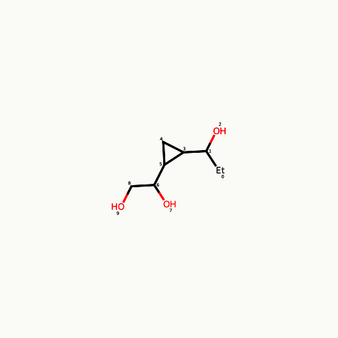 CCC(O)C1CC1C(O)CO